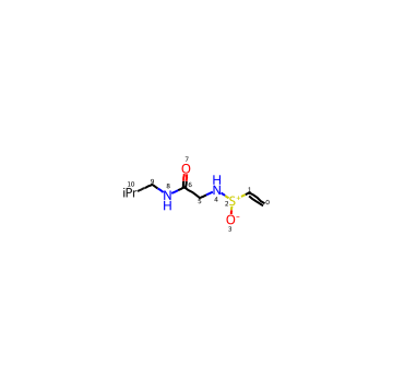 C=C[S+]([O-])NCC(=O)NCC(C)C